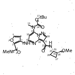 CNC(=O)c1occc1Nc1cc(N(C)C(=O)OC(C)(C)C)n2ncc(C(=O)N[C@H]3CC[C@@H]3OC)c2n1